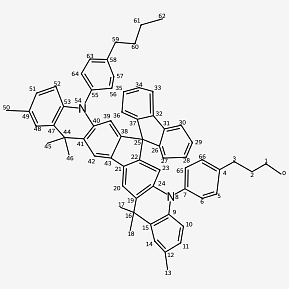 CCCCc1ccc(N2c3ccc(C)cc3C(C)(C)c3cc4c(cc32)C2(c3ccccc3-c3ccccc32)c2cc3c(cc2-4)C(C)(C)c2cc(C)ccc2N3c2ccc(CCCC)cc2)cc1